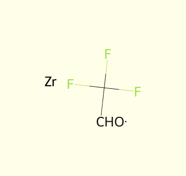 O=[C]C(F)(F)F.[Zr]